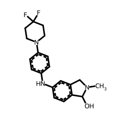 CN1Cc2cc(Nc3ccc(N4CCC(F)(F)CC4)cc3)ccc2C1O